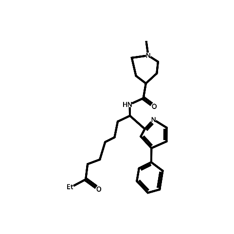 CCC(=O)CCCCCC(NC(=O)C1CCN(C)CC1)c1cc(-c2ccccc2)ccn1